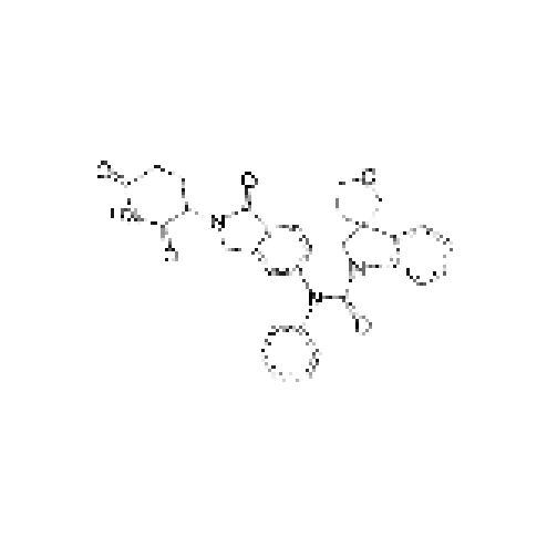 O=C1CCC(N2Cc3cc(N(C(=O)N4CC5(CCOC5)c5ccccc54)c4ccccc4)ccc3C2=O)C(=O)N1